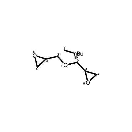 C(OCC1CO1)C1CO1.CCCCC